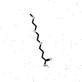 COCCOCCOCCCC(N)=O